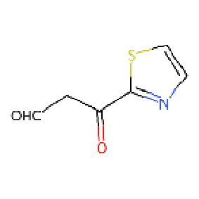 O=CCC(=O)c1nccs1